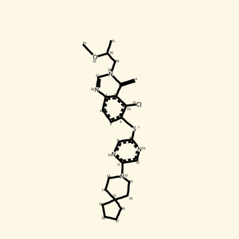 C=C1c2c(ccc(Sc3cnc(N4CCC5(CCCC5)CC4)cn3)c2Cl)N=CN1CC(C)OC